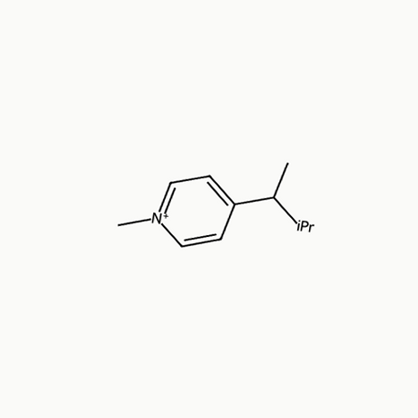 CC(C)C(C)c1cc[n+](C)cc1